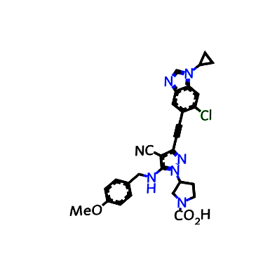 COc1ccc(CNc2c(C#N)c(C#Cc3cc4ncn(C5CC5)c4cc3Cl)nn2C2CCN(C(=O)O)C2)cc1